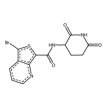 O=C1CCC(NC(=O)c2sc(Br)c3cccnc23)C(=O)N1